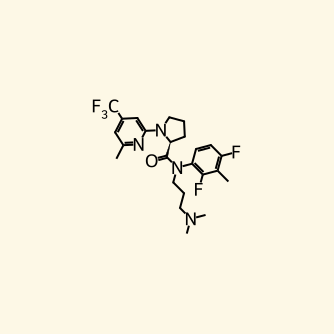 Cc1cc(C(F)(F)F)cc(N2CCC[C@H]2C(=O)N(CCCN(C)C)c2ccc(F)c(C)c2F)n1